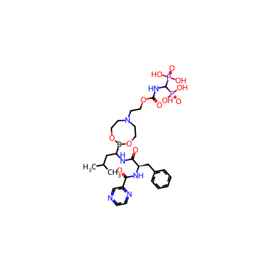 CC(C)CC(NC(=O)[C@@H](Cc1ccccc1)NC(=O)c1cnccn1)B1OCCN(CCOC(=O)NC(P(=O)(O)O)P(=O)(O)O)CCO1